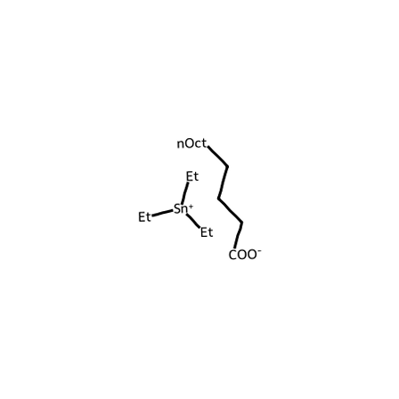 CCCCCCCCCCCC(=O)[O-].C[CH2][Sn+]([CH2]C)[CH2]C